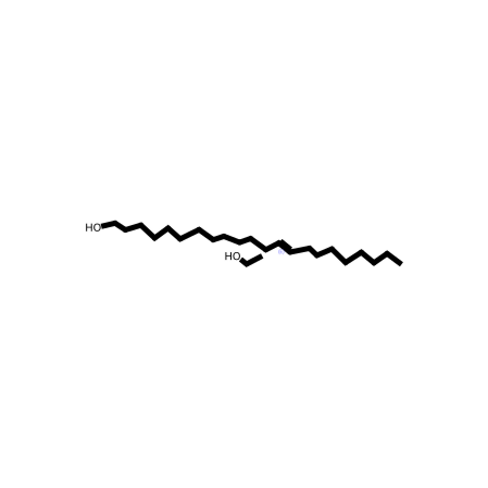 CCCCCCCC/C=C/CCCCCCCCCCCCO.CCO